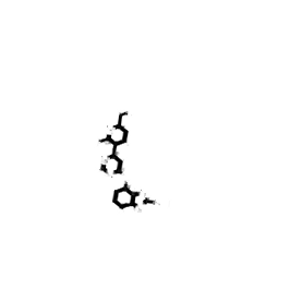 Nc1nc2c(Oc3cc(-c4ccc(CF)nc4Cl)ncn3)cccc2s1